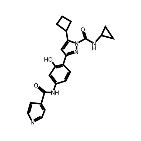 O=C(Nc1ccc(-c2cc(C3CCC3)n(C(=O)NC3CC3)n2)c(O)c1)c1ccncc1